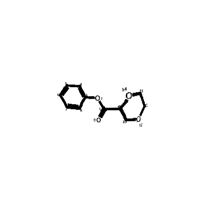 O=C(Oc1ccccc1)C1COCCO1